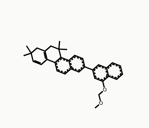 COCOc1cc(-c2ccc3c4c(ccc3c2)C2=C(CC(C)(C)C=C2)CC4(C)C)cc2ccccc12